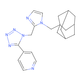 c1cc(-c2nnnn2Cc2nccn2CC23CC4CC(CC(C4)C2)C3)ccn1